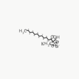 CCCCCCCCCCCC(=O)C(C)(CO)S(=O)(=O)[O-].[K+]